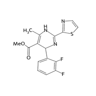 COC(=O)C1=C(C)NC(c2nccs2)=NC1c1cccc(F)c1F